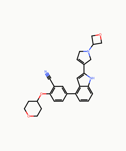 N#Cc1cc(-c2cccc3[nH]c(C4=CCN(C5COC5)C4)cc23)ccc1OC1CCOCC1